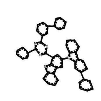 c1ccc(-c2cccc(-c3nc(-c4ccccc4)nc(-c4cc(-n5c6ccccc6c6ccc(-c7ccccc7)cc65)cc5c4sc4ccccc45)n3)c2)cc1